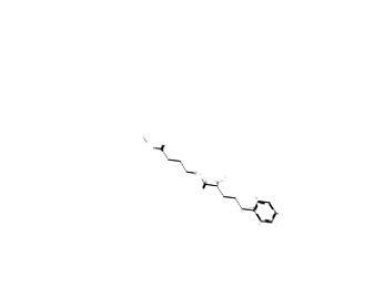 COC(=O)CCCNC(=O)C(O)CCCc1ccccc1